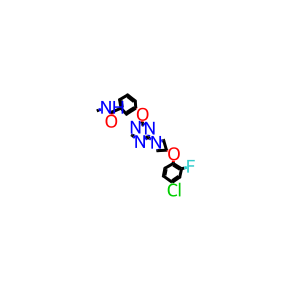 CNC(=O)c1cccc(Oc2ncnc(N3CC(Oc4ccc(Cl)cc4F)C3)n2)c1